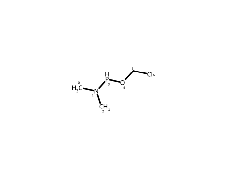 CN(C)POCCl